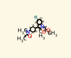 CCC(=O)N(C)C1CCC(c2c(C)n(CC(=O)OC)c3ccc(F)cc23)CC1